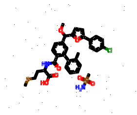 COC(c1ccc(C(=O)NC(CCSC)C(=O)O)c(-c2ccccc2C)c1)c1ccc(-c2ccc(Cl)cc2)o1.CS(N)(=O)=O